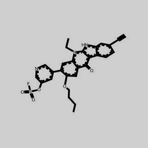 C#Cc1ccc2c(c1)[nH]c1c2c(=O)c2cc(OCCCC)c(-c3cncc(OS(=O)(=O)F)c3)cc2n1CC